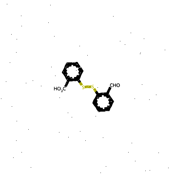 O=Cc1ccccc1SSc1ccccc1C(=O)O